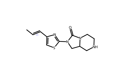 C/C=C/c1csc(N2CC3CNCCN3C2=O)n1